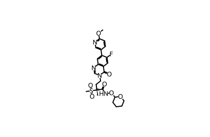 COc1ccc(-c2cc3ncn(CC[C@](C)(C(=O)NOC4CCCCO4)S(C)(=O)=O)c(=O)c3cc2F)cn1